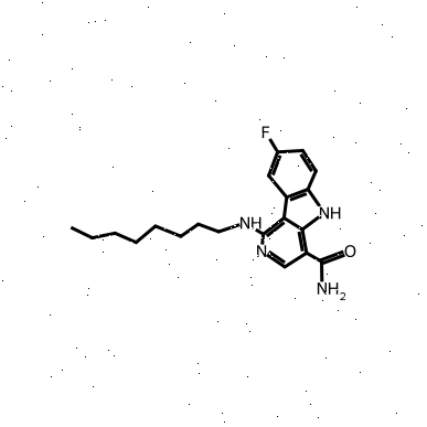 CCCCCCCCNc1ncc(C(N)=O)c2[nH]c3ccc(F)cc3c12